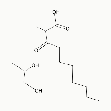 CC(O)CO.CCCCCCCC(=O)C(C)C(=O)O